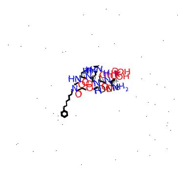 COCCOCCC(=O)N(CCCCCCCc1ccccc1)CC(=O)N[C@@H](CC(C)C)C(=O)N[C@@H](Cc1ncc[nH]1)C(=O)N[C@@H](CO)C(=O)N[C@H](C(N)=O)[C@@H](C)OP(=O)(O)O